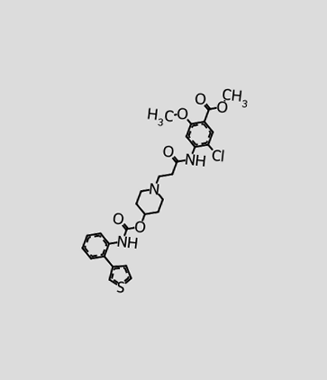 COC(=O)c1cc(Cl)c(NC(=O)CCN2CCC(OC(=O)Nc3ccccc3-c3ccsc3)CC2)cc1OC